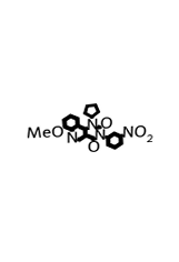 COc1cccc2c1ncc1c(=O)n(-c3cccc([N+](=O)[O-])c3)c(=O)n(C3CCCC3)c12